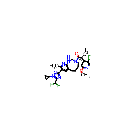 COc1cc([C@@H](C)C(=O)N2CCCCc3cc(-c4nc(C(F)F)n(C5CC5)n4)c(C)nc3NC2)c(F)cn1